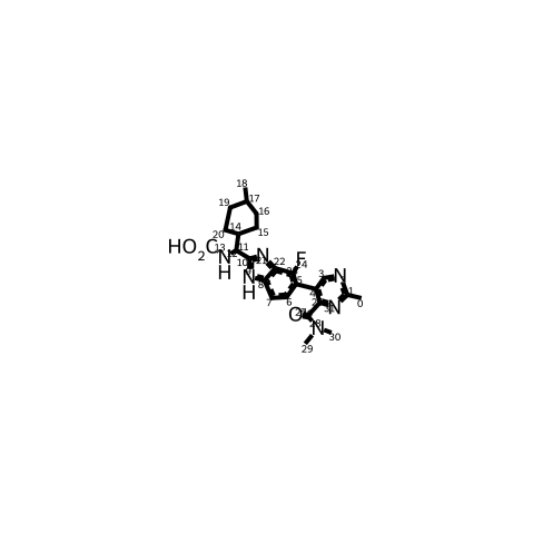 Cc1ncc(-c2ccc3[nH]c(C(NC(=O)O)C4CCC(C)CC4)nc3c2F)c(C(=O)N(C)C)n1